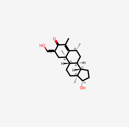 CC1=C2[C@H](C)C[C@H]3[C@@H]4CC[C@H](O)[C@@]4(C)CC[C@@H]3[C@@]2(C)C/C(=C/O)C1=O